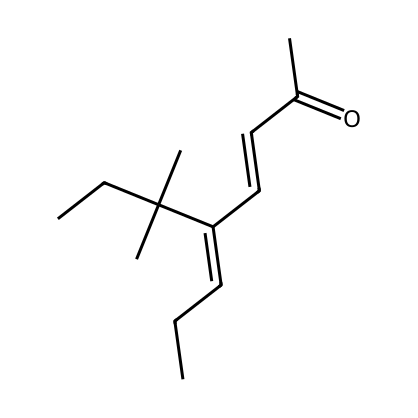 CCC=C(C=CC(C)=O)C(C)(C)CC